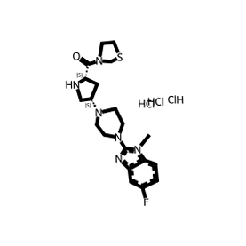 Cl.Cl.Cl.Cn1c(N2CCN([C@@H]3CN[C@H](C(=O)N4CCSC4)C3)CC2)nc2cc(F)ccc21